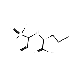 C=CC(N[C@@H](CCC)C(=O)O)P(=O)(O)O